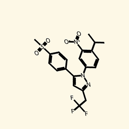 CC(C)c1ccc(-n2nc(CC(F)(F)F)cc2-c2ccc(S(C)(=O)=O)cc2)cc1[N+](=O)[O-]